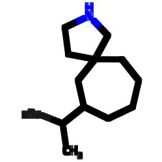 CCCCC(C)C1CCCCC2(CCNC2)C1